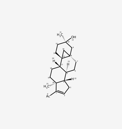 CC(=O)C1=CC[C@H]2[C@@H]3CC[C@]45C[C@](C)(O)CC[C@]4(C5)[C@H]3CC[C@]12C